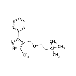 C[Si](C)(C)CCOCn1c(-c2ccccn2)nnc1C(F)(F)F